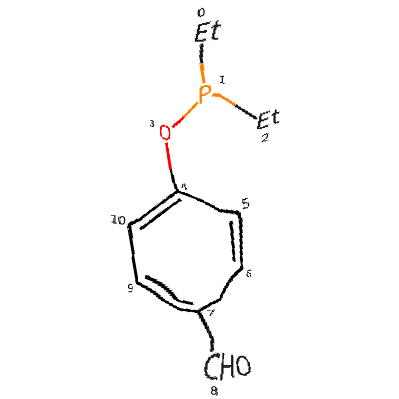 CCP(CC)Oc1ccc(C=O)cc1